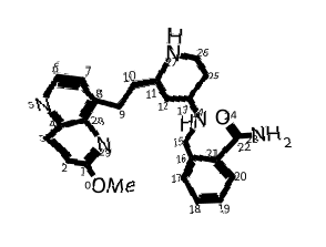 COc1ccc2nccc(CCC3CC(NCc4ccccc4C(N)=O)CCN3)c2n1